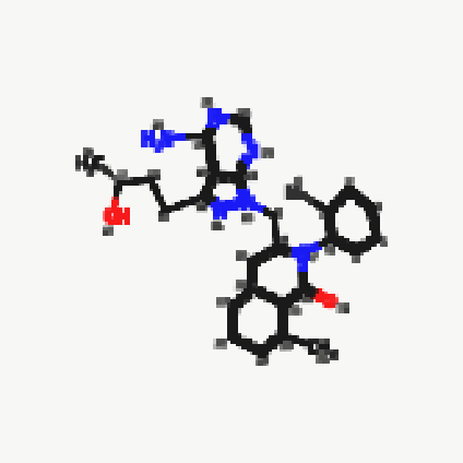 CCc1ccccc1-n1c(Cn2nc(CC[C@@H](C)O)c3c(N)ncnc32)cc2cccc(C)c2c1=O